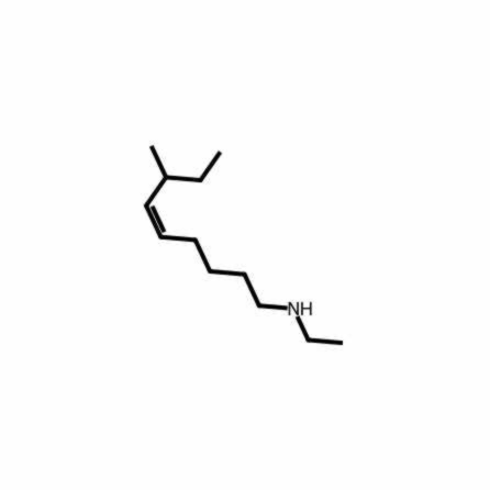 CCNCCCC/C=C\C(C)CC